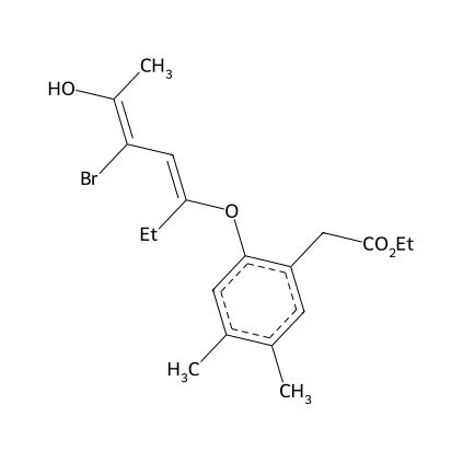 CCOC(=O)Cc1cc(C)c(C)cc1O/C(=C/C(Br)=C(\C)O)CC